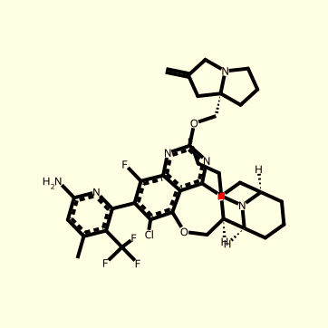 C=C1CN2CCC[C@@]2(COc2nc3c4c(c(Cl)c(-c5nc(N)cc(C)c5C(F)(F)F)c(F)c4n2)OC[C@@H]2[C@@H]4CCC[C@H](CN32)N4CCCF)C1